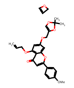 C1=COC1.C=CCOc1cc(OCC2=COC(C)(C)O2)cc2oc(-c3ccc(OC)cc3)cc(=O)c12